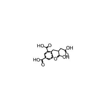 O=C(O)CC(Cc1ccc(C(=O)O)cc1C(=O)O)C(=O)O